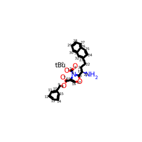 CC(C)(C)OC(=O)N1C(C(=O)OCc2ccccc2)=COC1[C@H](N)CCc1ccc2ccccc2c1